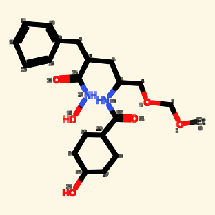 CCOCOCC(CC(Cc1ccccc1)C(=O)NO)NC(=O)C1CCC(O)CC1